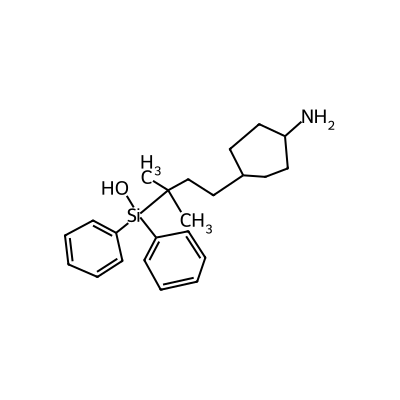 CC(C)(CCC1CCC(N)CC1)[Si](O)(c1ccccc1)c1ccccc1